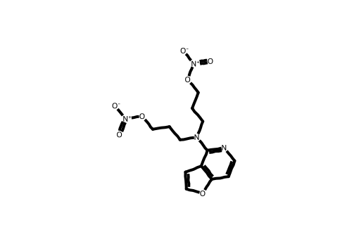 O=[N+]([O-])OCCCN(CCCO[N+](=O)[O-])c1nccc2occc12